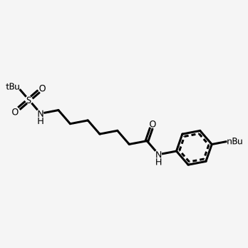 CCCCc1ccc(NC(=O)CCCCCCNS(=O)(=O)C(C)(C)C)cc1